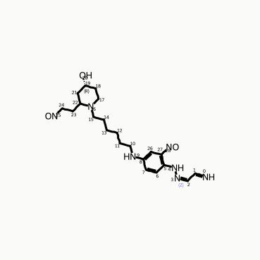 N=C/C=N\Nc1ccc(NCCCCCCN2CC[C@@H](O)CC2CCN=O)cc1N=O